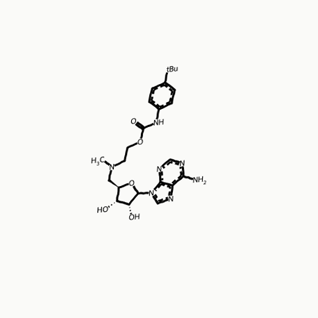 CN(CCOC(=O)Nc1ccc(C(C)(C)C)cc1)C[C@H]1OC(n2cnc3c(N)ncnc32)[C@H](O)[C@@H]1O